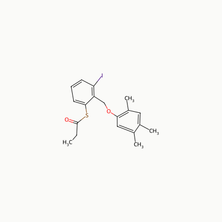 CCC(=O)Sc1cccc(I)c1COc1cc(C)c(C)cc1C